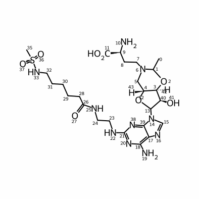 CC1O[C@@H]2[C@@H](CN1CC[C@H](N)C(=O)O)OC(n1cnc3c(N)nc(NCCNC(=O)CCCCCNS(C)(=O)=O)nc31)[C@@H]2O